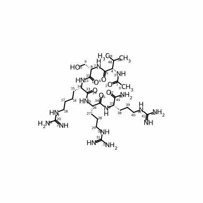 CC(=O)N[C@H](C(=O)N[C@@H](CO)C(=O)N[C@@H](CCCCNC(=N)N)C(=O)N[C@@H](CCCNC(=N)N)C(=O)N[C@@H](CCCNC(=N)N)C(N)=O)C(C)C